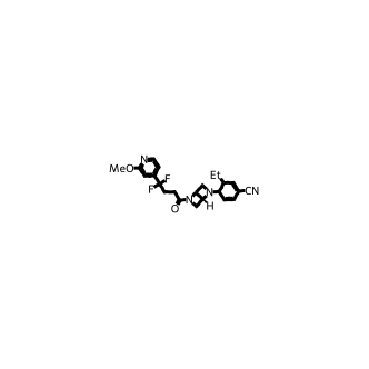 CCC1C=C(C#N)C=CC1N1CC2[C@H]1CN2C(=O)CCC(F)(F)c1ccnc(OC)c1